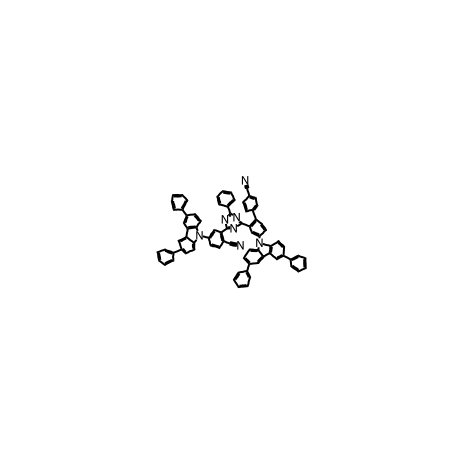 N#Cc1ccc(-c2ccc(-n3c4ccc(-c5ccccc5)cc4c4cc(-c5ccccc5)ccc43)cc2-c2nc(-c3ccccc3)nc(-c3cc(-n4c5ccc(-c6ccccc6)cc5c5cc(-c6ccccc6)ccc54)ccc3C#N)n2)cc1